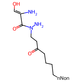 CCCCCCCCCCCCCC(=O)CCN(N)C(=O)C(N)=CO